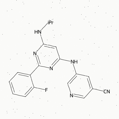 CC(C)Nc1cc(Nc2cncc(C#N)c2)nc(-c2ccccc2F)n1